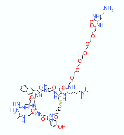 C=C(CCNC(=N)N)[C@H]1NC(=O)C(CCCCNC(C)C)NC(=O)C(Cc2ccc(O)cc2)NC(=O)CCSSCC(C(=O)NC(CCCCNC(C)C)C(=O)NCCOCCOCCOCCOCCOCCOCCC(=O)NC(CCCCN)C(N)=O)NC(=O)CNC(=O)C(Cc2ccc3ccccc3c2)NC1=O